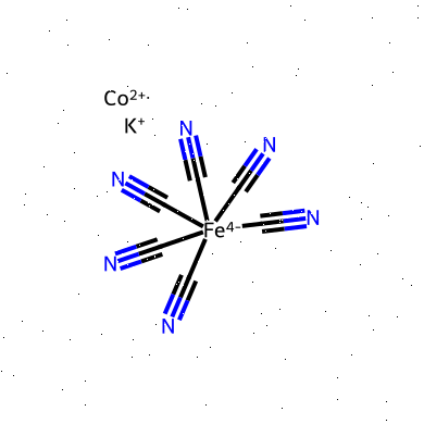 N#[C][Fe-4]([C]#N)([C]#N)([C]#N)([C]#N)[C]#N.[Co+2].[K+]